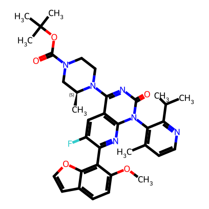 COc1ccc2ccoc2c1-c1nc2c(cc1F)c(N1CCN(C(=O)OC(C)(C)C)C[C@@H]1C)nc(=O)n2-c1c(C)ccnc1C(C)C